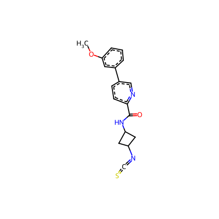 COc1cccc(-c2ccc(C(=O)NC3CC(N=C=S)C3)nc2)c1